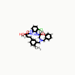 CCNc1cccc(Cl)c1NC1(C)CN(Cc2cc(CCC(=O)O)ccc2C)Cc2ccccc2O1